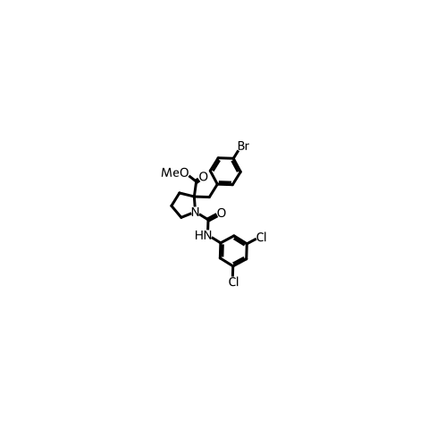 COC(=O)C1(Cc2ccc(Br)cc2)CCCN1C(=O)Nc1cc(Cl)cc(Cl)c1